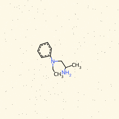 CCN(CC(C)N)c1ccccc1